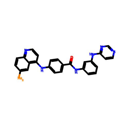 O=C(Nc1cccc(Nc2ccncn2)c1)c1ccc(Nc2ccnc3ccc(P)cc23)cc1